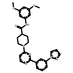 COc1cc(NC(=O)C2CCN(c3ccnc(-c4cccc(-n5cccn5)c4)n3)CC2)cc(OC)c1